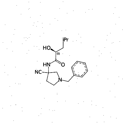 CC(C)C[C@H](O)C(=O)NC1(C#N)CCN(Cc2ccccc2)C1